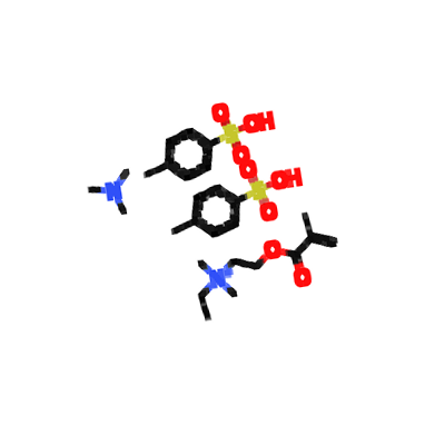 C=C(C)C(=O)OCC[N+](C)(C)CC.CN(C)C.Cc1ccc(S(=O)(=O)O)cc1.Cc1ccc(S(=O)(=O)O)cc1